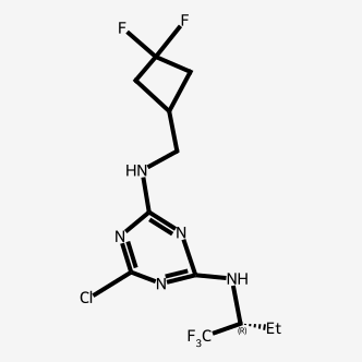 CC[C@@H](Nc1nc(Cl)nc(NCC2CC(F)(F)C2)n1)C(F)(F)F